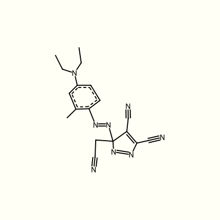 CCN(CC)c1ccc(N=NC2(CC#N)N=NC(C#N)=C2C#N)c(C)c1